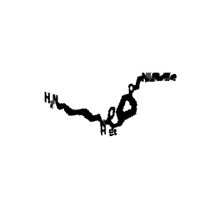 CC[C@@H](Cc1ccc(OCCNC)cc1)C(=O)NCCCCCCN